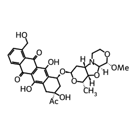 CO[C@H]1OCCN2[C@@H]1O[C@@H]1[C@H](C)O[C@@H](O[C@H]3C[C@](O)(C(C)=O)Cc4c(O)c5c(c(O)c43)C(=O)c3c(CO)cccc3C5=O)C[C@@H]12